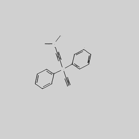 C#C[Si](C#C[SiH](C)C)(c1ccccc1)c1ccccc1